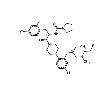 CC[C@H](Cc1cc(Cl)ccc1C1CCN(C(=O)[C@@H](Cc2ccc(Cl)cc2Cl)NC(=O)N2CCCC2)CC1)CN(C)CCF